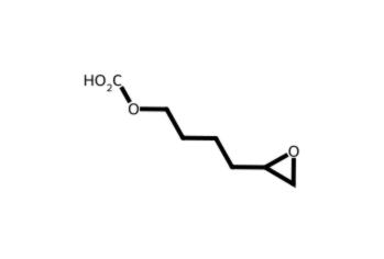 O=C(O)OCCCCC1CO1